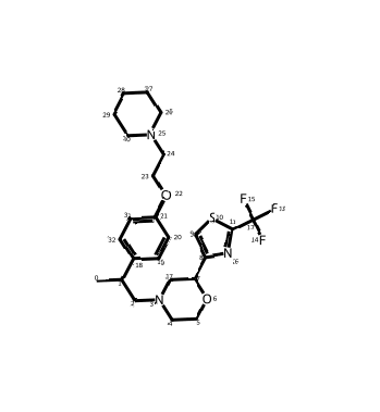 CC(CN1CCOC(c2csc(C(F)(F)F)n2)C1)c1ccc(OCCN2CCCCC2)cc1